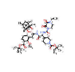 CCN1CCN(C(=O)NC(C(=O)NC(Cc2cccc(C(=O)OC(C)(C)C)c2OC)B2O[C@@H]3C[C@@H]4C[C@@H](C4(C)C)[C@]3(C)O2)C2CCN(C(=O)OC(C)(C)C)CC2)C(=O)C1=O